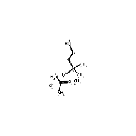 C[N+](C)(C)CCO.NC(N)=O.[CH3].[Cl-]